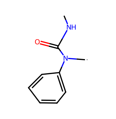 [CH2]N(C(=O)NC)c1ccccc1